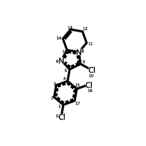 Clc1ccc(-c2nc3n(c2Cl)CCC=C3)c(Cl)c1